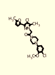 COc1cc(N2CCN(C(=O)Cn3nc(-c4ccc(C)o4)c(Cl)c3C)CC2)ccc1Cl